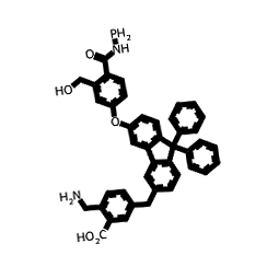 NCc1ccc(Cc2ccc3c(c2)-c2cc(Oc4ccc(C(=O)NP)c(CO)c4)ccc2C3(c2ccccc2)c2ccccc2)cc1C(=O)O